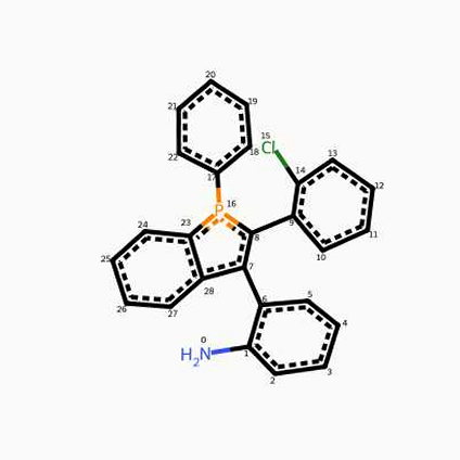 Nc1ccccc1-c1c(-c2ccccc2Cl)p(-c2ccccc2)c2ccccc12